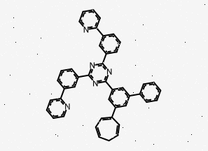 C1=CCC=CC(c2cc(-c3ccccc3)cc(-c3nc(-c4cccc(-c5ccccn5)c4)nc(-c4cccc(-c5ccccn5)c4)n3)c2)=C1